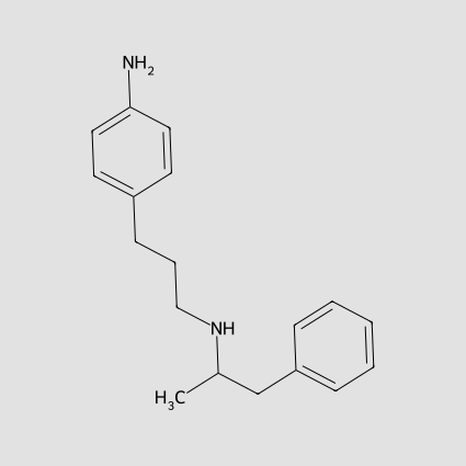 CC(Cc1ccccc1)NCCCc1ccc(N)cc1